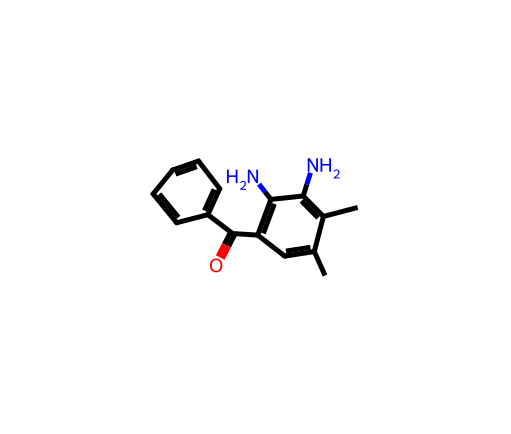 Cc1cc(C(=O)c2ccccc2)c(N)c(N)c1C